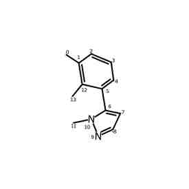 Cc1cccc(-c2c[c]nn2C)c1C